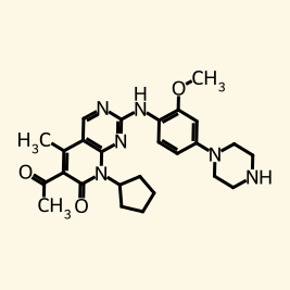 COc1cc(N2CCNCC2)ccc1Nc1ncc2c(C)c(C(C)=O)c(=O)n(C3CCCC3)c2n1